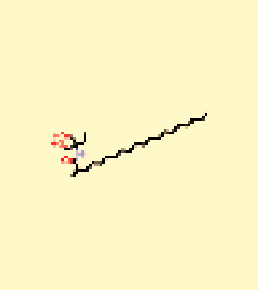 C=C(CCCCCCCCCCCCCCCCCC)C(=O)NC(CC)(CO)CO